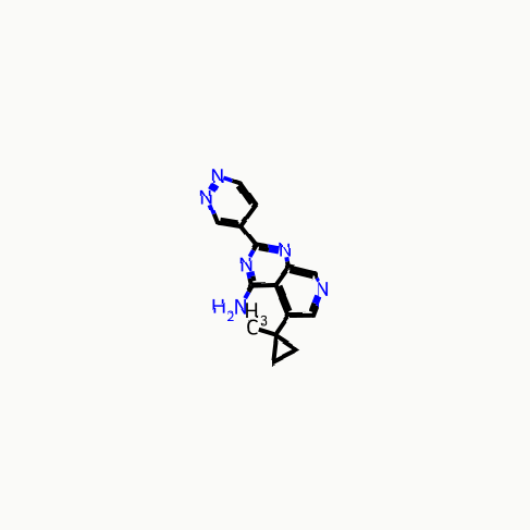 CC1(c2cncc3nc(-c4ccnnc4)nc(N)c23)CC1